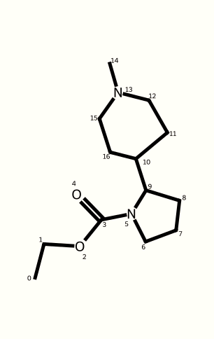 CCOC(=O)N1CCCC1C1CCN(C)CC1